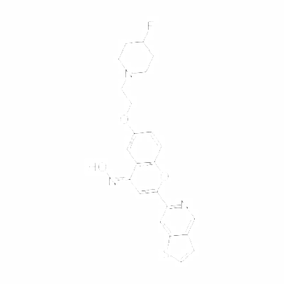 O/N=c1/cc(-c2cc3sccc3cn2)oc2ccc(OCCN3CCC(F)CC3)cc12